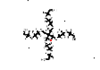 OCC(F)(F)OC(F)(F)C(F)(F)OC(F)(F)C(C(F)(F)OC(F)(F)C(F)(F)OC(F)(F)CO)(C(F)(F)OC(F)(F)C(F)(F)OC(F)(F)CO)C(F)(F)OC(F)(F)C(F)(F)OC(F)(F)CO